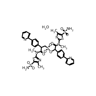 Cc1nc(N(C)C(=O)C(CS(=O)(=O)OC(C(=O)N(C)c2nc(C)c(S(N)(=O)=O)s2)c2ccc(-c3ccccn3)cc2)c2ccc(-c3ccccn3)cc2)sc1S(N)(=O)=O.O